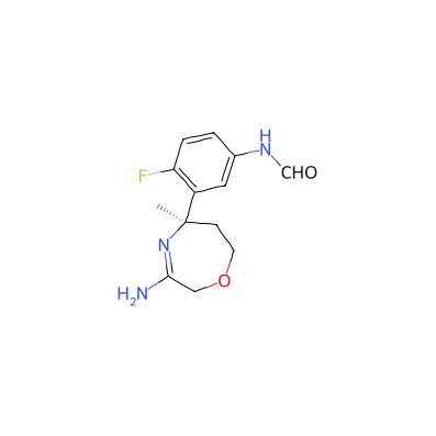 C[C@]1(c2cc(NC=O)ccc2F)CCOCC(N)=N1